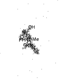 C=CC(=O)Nc1cc(Nc2cc(-n3c(CCCO)nnc3-c3ccc(F)cc3)ccn2)c(OC)cc1N1CCN(C2CCN(C)CC2)CC1